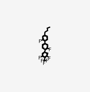 CCCCc1ccc(-c2ccc(-c3cc(F)c(C(F)(F)F)c(F)c3)c(F)c2)c(F)c1